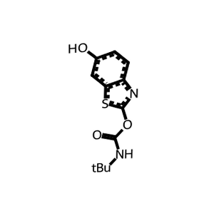 CC(C)(C)NC(=O)Oc1nc2ccc(O)cc2s1